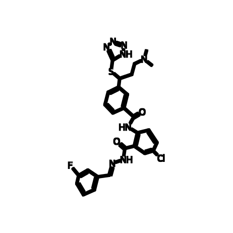 CN(C)CCC(Sc1nnn[nH]1)c1cccc(C(=O)Nc2ccc(Cl)cc2C(=O)NN=Cc2cccc(F)c2)c1